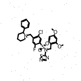 COc1ccc(CN(c2ncns2)S(=O)(=O)c2cc(Cl)c(CN3CCCCC3c3ccccc3)cc2F)c(OC)c1